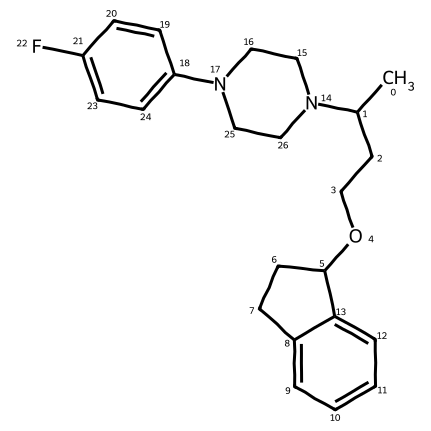 CC(CCOC1CCc2ccccc21)N1CCN(c2ccc(F)cc2)CC1